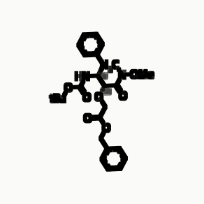 CON(C)C(=O)[C@H](OCC(=O)OCc1ccccc1)[C@H](Cc1ccccc1)NC(=O)OC(C)(C)C